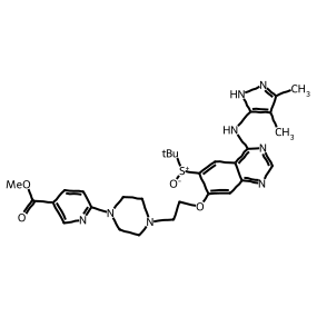 COC(=O)c1ccc(N2CCN(CCOc3cc4ncnc(Nc5[nH]nc(C)c5C)c4cc3[S+]([O-])C(C)(C)C)CC2)nc1